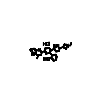 CCN1CC(c2ccc(-c3ccc(-c4cc(C)c5nn(C)cc5n4)cc3-c3ccccc3O)nn2)C1.Cl